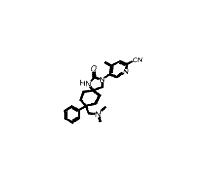 Cc1cc(C#N)ncc1N1CC2(CCC(CN(C)C)(c3ccccc3)CC2)NC1=O